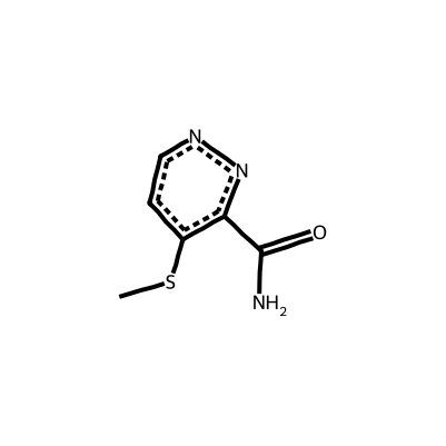 CSc1ccnnc1C(N)=O